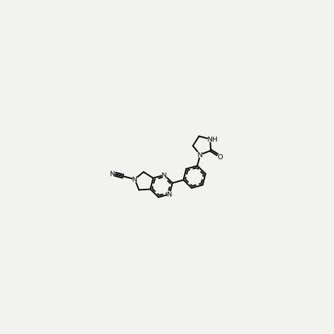 N#CN1Cc2cnc(-c3cccc(N4CCNC4=O)c3)nc2C1